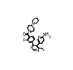 CCc1ncnc(-c2ccc(C(=O)N3CCC(N4CCCCC4)CC3)c(F)c2)c1-c1ccc(N)nc1